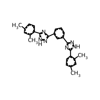 Cc1ccc(-c2nc(-c3cccc(-c4n[nH]c(-c5ccc(C)cc5C)n4)c3)n[nH]2)c(C)c1